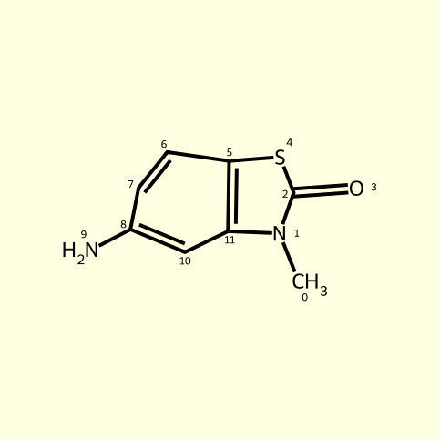 Cn1c(=O)sc2ccc(N)cc21